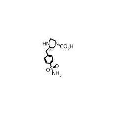 NS(=O)(=O)c1ccc(C[C@@H]2CN(C(=O)O)CCN2)cc1